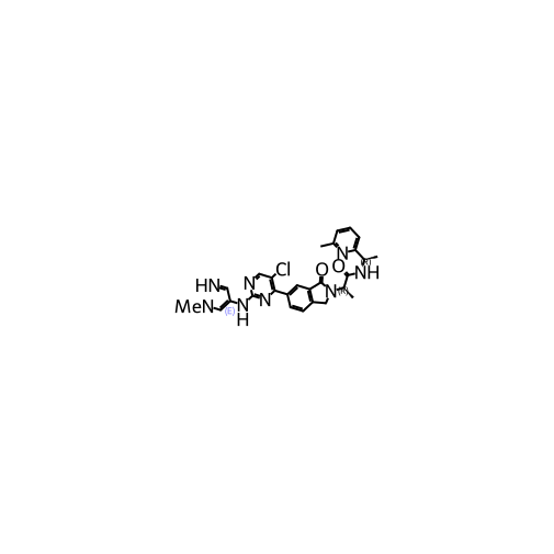 CN/C=C(\C=N)Nc1ncc(Cl)c(-c2ccc3c(c2)C(=O)N([C@H](C)C(=O)N[C@H](C)c2cccc(C)n2)C3)n1